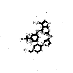 CCN1CCC(n2cc(Nc3nc(Nc4cccc(C(C)(C)O)c4)c4c(C)csc4n3)cn2)CC1